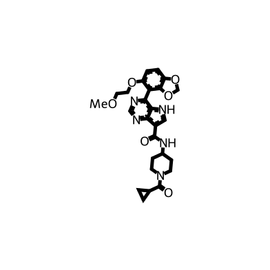 COCCOc1ccc2c(c1-c1ncnc3c(C(=O)NC4CCN(C(=O)C5CC5)CC4)c[nH]c13)OCO2